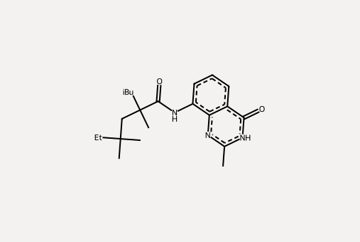 CCC(C)C(C)(CC(C)(C)CC)C(=O)Nc1cccc2c(=O)[nH]c(C)nc12